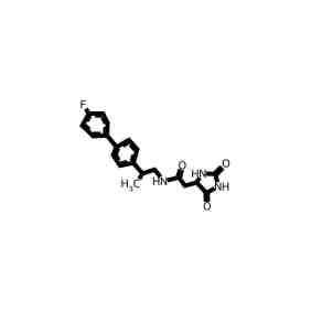 CC(CNC(=O)CC1NC(=O)NC1=O)c1ccc(-c2ccc(F)cc2)cc1